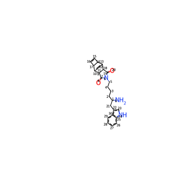 NC(CCCCN1C(=O)C2C3C=CC(C4C=CC43)C2C1=O)Cc1c[nH]c2ccccc12